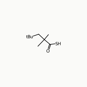 CC(C)(C)CC(C)(C)C(=O)S